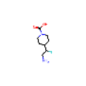 NCC(F)C1CCN(C(=O)O)CC1